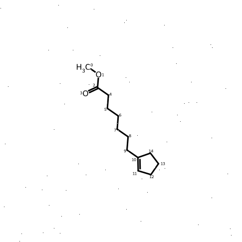 COC(=O)CCCCCCC1=CCCC1